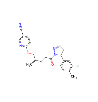 C=C(CCC(=O)N1N=CCC1c1ccc(C)c(F)c1)COc1ccc(C#N)cn1